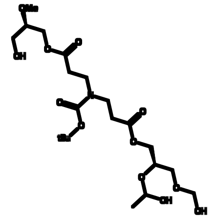 CO[C@H](CO)COC(=O)CCN(CCC(=O)OC[C@@H](COCO)OC(C)O)C(=O)OC(C)(C)C